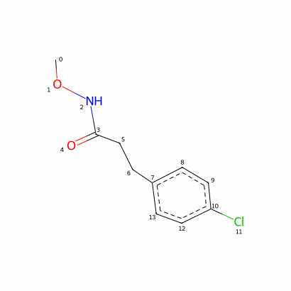 CONC(=O)CCc1ccc(Cl)cc1